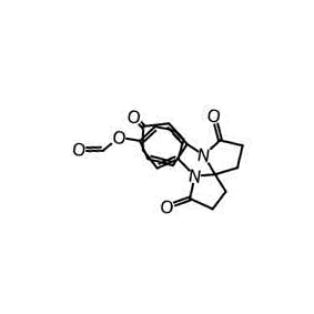 O=COc1ccc(N2C(=O)CCC23CCC(=O)N3C2=CCC(=O)C=C2)cc1